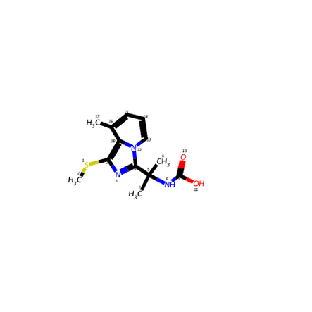 CSc1nc(C(C)(C)NC(=O)O)n2cccc(C)c12